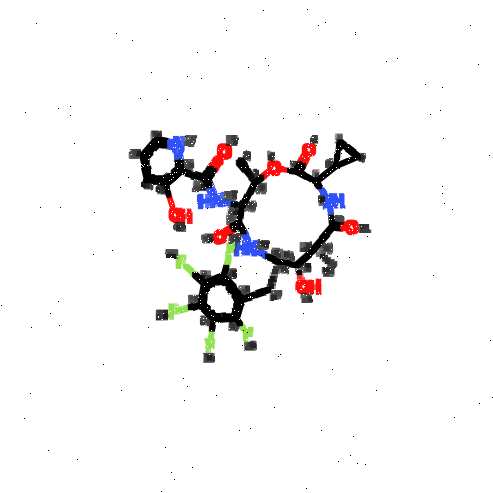 C[C@H]1OC(=O)C(C2CC2)NC(=O)[C@H](C)[C@H](O)[C@H](Cc2c(F)c(F)c(F)c(F)c2F)NC(=O)[C@H]1NC(=O)c1ncccc1O